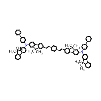 CC1(C)c2ccccc2-c2ccc(N(c3ccc(-c4ccccc4)cc3)c3ccc4c(c3)C(C)(C)c3cc(/C=C/c5ccc(/C=C/c6ccc7c(c6)C(C)(C)c6cc(N(c8ccc(-c9ccccc9)cc8)c8ccc9c(c8)C(C)(C)c8ccccc8-9)ccc6-7)cc5)ccc3-4)cc21